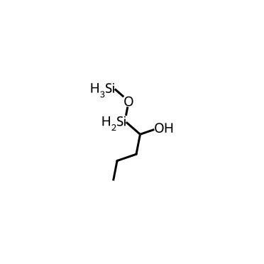 CCCC(O)[SiH2]O[SiH3]